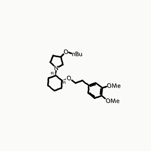 CCCCOC1CCN([C@@H]2CCCC[C@H]2OCCc2ccc(OC)c(OC)c2)C1